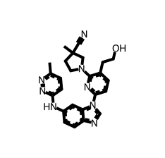 Cc1ccc(Nc2ccc3ncn(-c4ccc(CCO)c(N5CCC(C)(C#N)C5)n4)c3c2)nn1